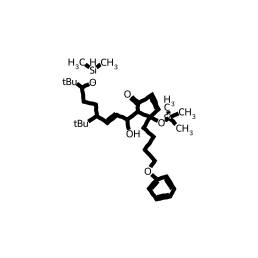 C[SiH](C)OC(CCC(C=CC(O)C1C(=O)C=CC1(CCCCOc1ccccc1)O[Si](C)(C)C)C(C)(C)C)C(C)(C)C